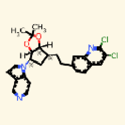 CC1(C)O[C@@H]2[C@@H](CCc3ccc4cc(Cl)c(Cl)nc4c3)C[C@@H](n3ccc4cnccc43)[C@@H]2O1